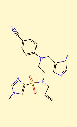 C=CCN(CCN(Cc1cncn1C)c1ccc(C#N)cc1)S(=O)(=O)c1cn(C)cn1